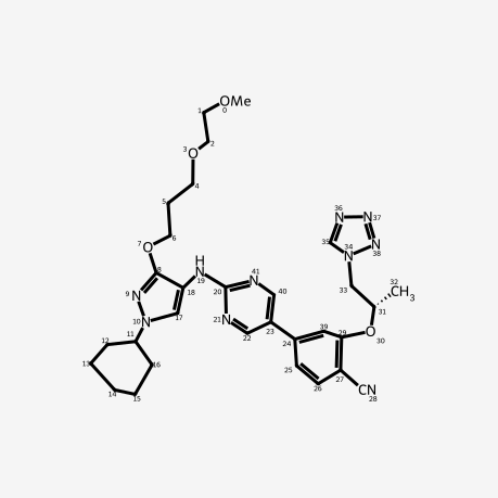 COCCOCCCOc1nn(C2CCCCC2)cc1Nc1ncc(-c2ccc(C#N)c(O[C@@H](C)Cn3cnnn3)c2)cn1